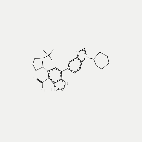 CC(C)(C)N1CCCC1c1cc(-c2ccc3c(c2)ncn3C2CCCCC2)c2nc[nH]c2c1C(N)=O